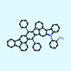 Cc1ccccc1-n1c2ccccc2c2c3cccc4c5c(-c6ccccc6)c6cc7c8ccccc8c8cccc(c6c(-c6ccccc6)c5c(cc21)c43)c87